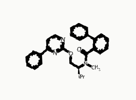 CC(C)[C@@H](COc1nccc(-c2ccccc2)n1)N(C)C(=O)c1ccccc1-c1ccccc1